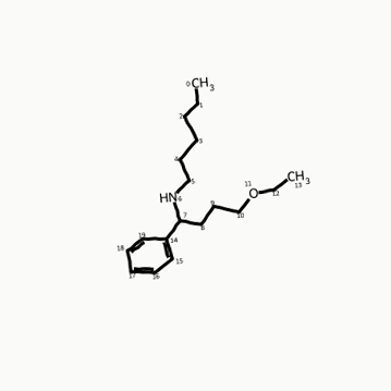 CCCCCCNC(CCCOCC)c1ccccc1